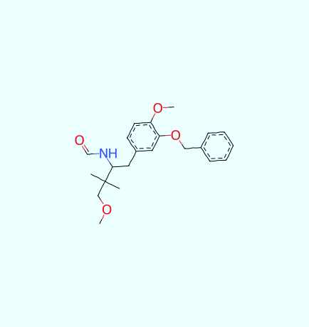 COCC(C)(C)C(Cc1ccc(OC)c(OCc2ccccc2)c1)NC=O